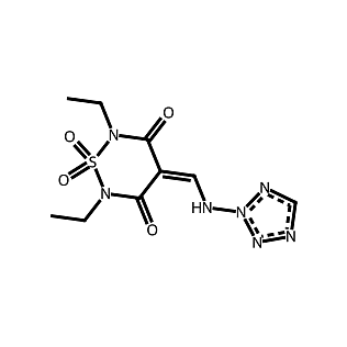 CCN1C(=O)C(=CNn2ncnn2)C(=O)N(CC)S1(=O)=O